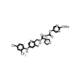 COc1ncc(OC(=O)N[C@@]2(C(=O)NCc3ncc(Nc4ccc(Cl)cc4C(F)(F)F)cc3F)CCOC2)cn1